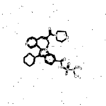 CN(C)S(=O)(=O)NC(=O)c1ccc2c(C3CCCCC3)c3n(c2c1)CC(C(=O)N1CCOCC1)=Cc1ccncc1-3